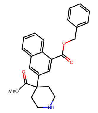 COC(=O)C1(c2cc(C(=O)OCc3ccccc3)c3ccccc3c2)CCNCC1